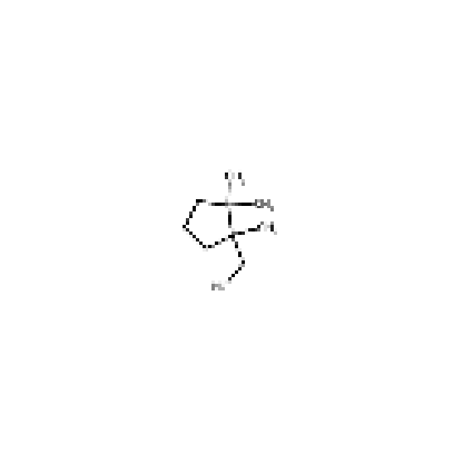 CC1(C)CCCC1(C)CC#N